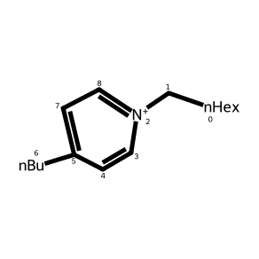 CCCCCCC[n+]1ccc(CCCC)cc1